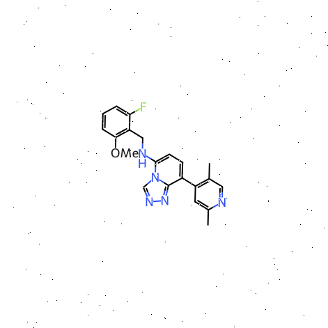 COc1cccc(F)c1CNc1ccc(-c2cc(C)ncc2C)c2nncn12